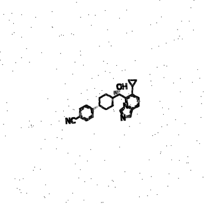 N#Cc1ccc([C@H]2CC[C@H]([C@H](O)c3c(C4CC4)ccc4cncn34)CC2)cc1